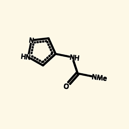 CNC(=O)Nc1cn[nH]c1